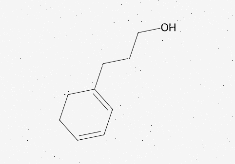 OCCCC1=CC=CC[CH]1